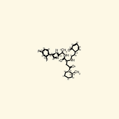 CC(NC(=O)C(CC(=O)N1CCCC[C@@H]1C)NCCC1C=CC=CC1=O)c1ncc(-c2ccc(F)cc2F)[nH]1